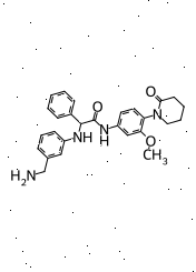 COc1cc(NC(=O)C(Nc2cccc(CN)c2)c2ccccc2)ccc1N1CCCCC1=O